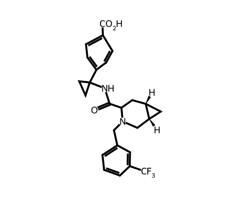 O=C(O)c1ccc(C2(NC(=O)C3C[C@@H]4C[C@@H]4CN3Cc3cccc(C(F)(F)F)c3)CC2)cc1